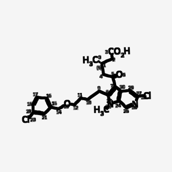 C[C@H](CC(=O)O)CC(=O)c1c(CCCCOCc2cccc(Cl)c2)n(C)c2cnc(Cl)cc12